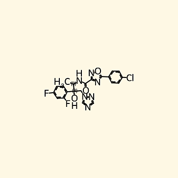 C[C@@H](NC(=O)c1noc(-c2ccc(Cl)cc2)n1)[C@](O)(Cn1cncn1)c1ccc(F)cc1F